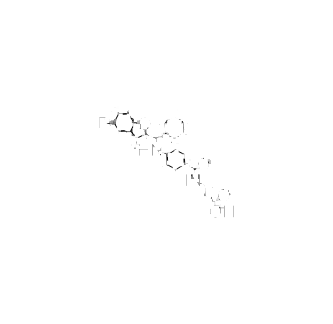 Cc1c(C(Nc2ccc(C(=O)NCCC(=O)O)cc2)C2CCCCC2)oc2ccc(F)cc12